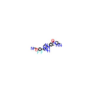 CNCC1CCN(C(=O)c2ccc(Nc3nccn4c(-c5ccc(OCC#N)c(F)c5F)cnc34)cc2C)CC1